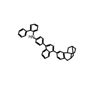 c1ccc(-c2ccccc2Nc2ccc(-c3ccc(-c4ccc5c(c4)C4CC6CCC4C(C5)C6)c4ccccc34)cc2)cc1